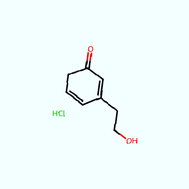 Cl.O=C1C=C(CCO)C=CC1